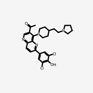 CC(=O)c1cnc2ccc(-c3cc(Cl)c(O)c(Cl)c3)nc2c1N1CCC(CCN2CCCC2)CC1